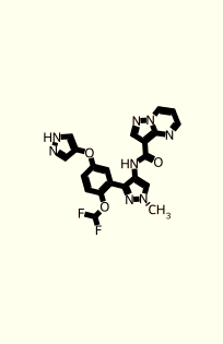 Cn1cc(NC(=O)c2cnn3cccnc23)c(-c2cc(Oc3cn[nH]c3)ccc2OC(F)F)n1